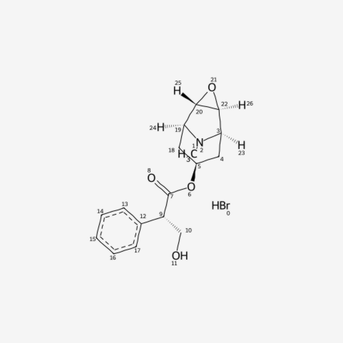 Br.CN1[C@@H]2C[C@@H](OC(=O)[C@H](CO)c3ccccc3)C[C@H]1[C@@H]1O[C@H]12